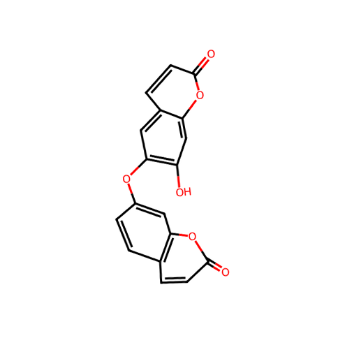 O=c1ccc2ccc(Oc3cc4ccc(=O)oc4cc3O)cc2o1